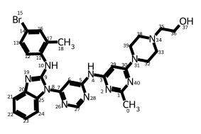 Cc1nc(Nc2cc(-n3c(Nc4ccc(Br)cc4C)nc4ccccc43)ncn2)cc(N2CCN(CCO)CC2)n1